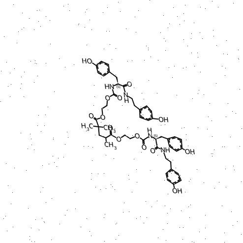 CC(CC(C)(C)C(=O)OCCOC(=O)N[C@@H](Cc1ccc(O)cc1)C(=O)NCCc1ccc(O)cc1)C(=O)OCCOC(=O)N[C@@H](Cc1ccc(O)cc1)C(=O)NCCc1ccc(O)cc1